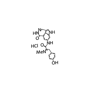 CN[C@H](Cc1ccc(O)cc1)C(=O)Nc1cc2c3c(c[nH]c3c1)C=NNC2=O.Cl